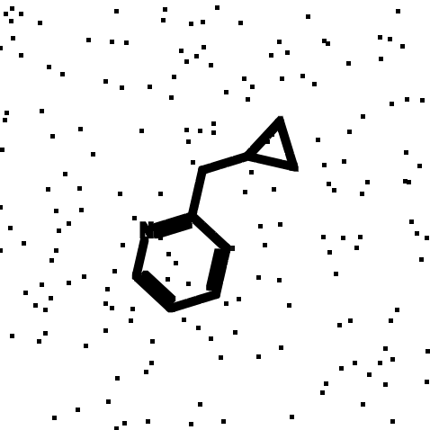 [c]1cccnc1CC1CC1